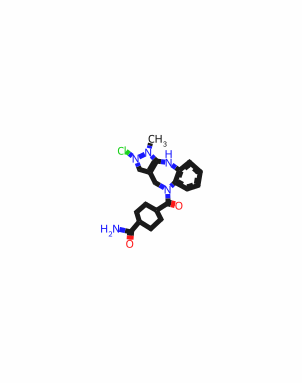 CN1C2=C(CN(C(=O)C3CCC(C(N)=O)CC3)c3ccccc3N2)CN1Cl